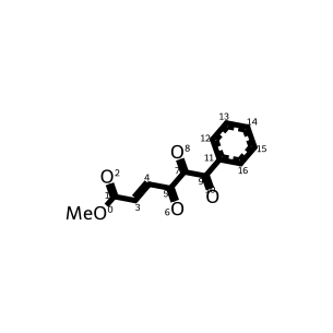 COC(=O)/C=C/C(=O)C(=O)C(=O)c1ccccc1